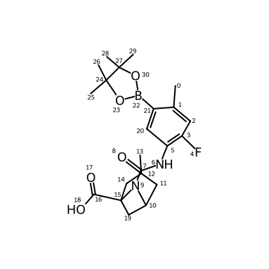 Cc1cc(F)c(NC(=O)N2C3CC(C)CC2(C(=O)O)C3)cc1B1OC(C)(C)C(C)(C)O1